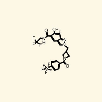 Cc1cc2nn(CC3CN(C(=O)c4ccc(S(F)(F)(F)(F)F)cc4)C3)cc2cc1C(=O)NCC(F)(F)F